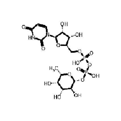 C[C@@H]1O[C@H](OP(=O)(O)OP(=O)(O)OC[C@H]2O[C@@H](n3ccc(=O)[nH]c3=O)[C@H](O)[C@@H]2O)[C@@H](O)[C@H](O)[C@@H]1O